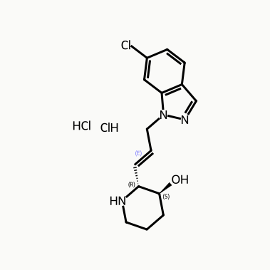 Cl.Cl.O[C@H]1CCCN[C@@H]1/C=C/Cn1ncc2ccc(Cl)cc21